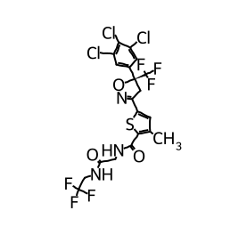 Cc1cc(C2=NO[C@@](c3cc(Cl)c(Cl)c(Cl)c3)(C(F)(F)F)C2)sc1C(=O)NCC(=O)NCC(F)(F)F